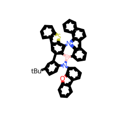 CC(C)(C)c1ccc2c(c1)-c1cc3c(sc4ccccc43)c3c1B(c1cccc4c5ccc6ccccc6c5n-3c14)N2c1cccc2c1oc1ccccc12